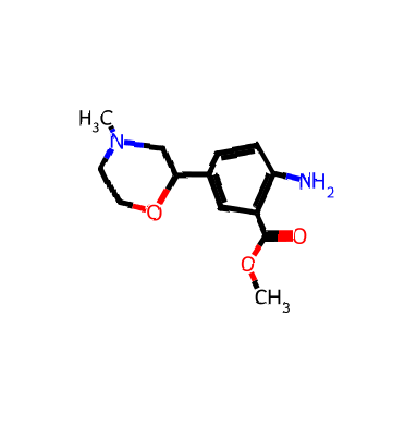 COC(=O)c1cc(C2CN(C)CCO2)ccc1N